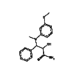 COc1cccc(N(C)C(c2ccccc2)C(O)C(N)=O)c1